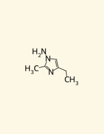 CCc1cn(N)c(C)n1